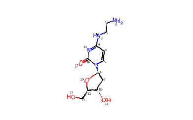 NCCNc1ccn([C@H]2C[C@H](O)[C@@H](CO)O2)c(=O)n1